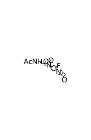 CC(=O)NCC1CN(c2ccc(N3CC4CC(=O)C4C3)c(F)c2)C(=O)O1